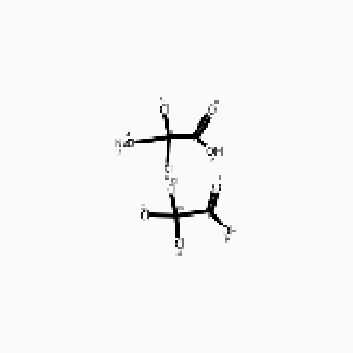 O=C(O)C(Cl)(Cl)Cl.O=C(O)C(Cl)(Cl)Cl.[Nd]